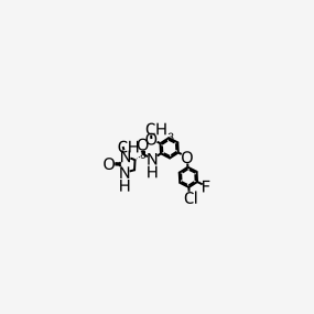 COc1ccc(Oc2ccc(Cl)c(F)c2)cc1NC(=O)[C@@H]1CNC(=O)N1C